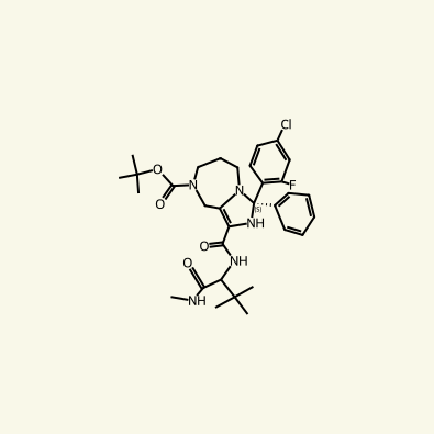 CNC(=O)C(NC(=O)C1=C2CN(C(=O)OC(C)(C)C)CCCN2[C@@](c2ccccc2)(c2ccc(Cl)cc2F)N1)C(C)(C)C